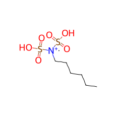 CCCCCC[N+](S(=O)(=O)O)S(=O)(=O)O